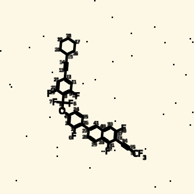 Fc1cc(OC(F)(F)c2c(F)cc(C#CC3CCCCC3)cc2F)ccc1-c1ccc2c(F)c(C#CC(F)(F)F)c(F)cc2c1